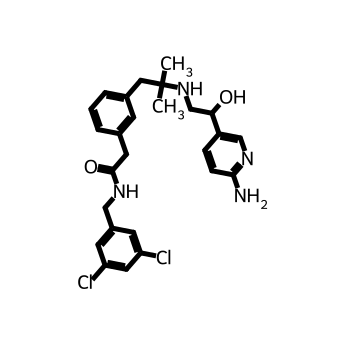 CC(C)(Cc1cccc(CC(=O)NCc2cc(Cl)cc(Cl)c2)c1)NCC(O)c1ccc(N)nc1